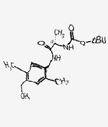 Cc1cc(NC(=O)[C@H](C)NC(=O)OC(C)(C)C)c(C)cc1CO